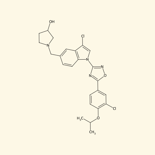 CC(C)Oc1ccc(-c2nc(-n3cc(Cl)c4cc(CN5CCC(O)C5)ccc43)no2)cc1Cl